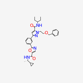 CCC(CC)NC(=O)c1cc(-c2cccc(-c3ncc(C(=O)N[C@@H](C)C4CC4)o3)c2)nn1CCOCc1ccccc1